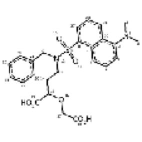 CN(C)c1cccc2c(S(=O)(=O)N(CCC(OCC(=O)O)C(=O)O)Cc3ccccc3)cccc12